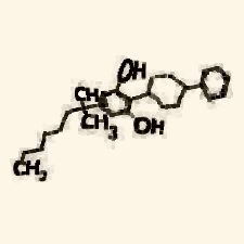 CCCCCCC(C)(C)c1cc(O)c(C2CCC(c3ccccc3)CC2)c(O)c1